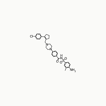 Cc1cc(S(=O)(=O)NC(=O)c2ccc(N3CCN(CC4=C(c5ccc(Cl)cc5)CCC4)CC3)cc2)ccc1N